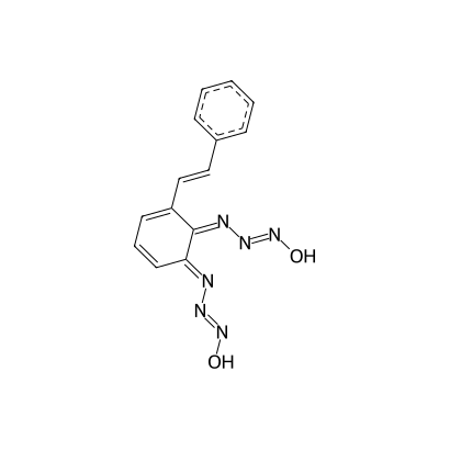 ON=NN=C1C=CC=C(C=Cc2ccccc2)C1=NN=NO